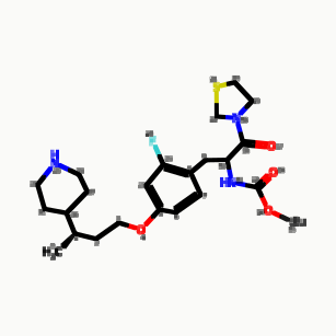 C[C@H](CCOc1ccc(CC(NC(=O)OC(C)(C)C)C(=O)N2CCSC2)c(F)c1)C1CCNCC1